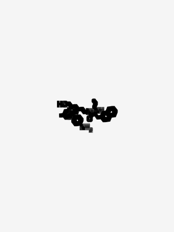 CCCN[C@@H](Cc1ccc2ccccc2c1)C(=O)NCCCCC(CO)N(CC(C)C)S(=O)(=O)c1ccc(N)cc1